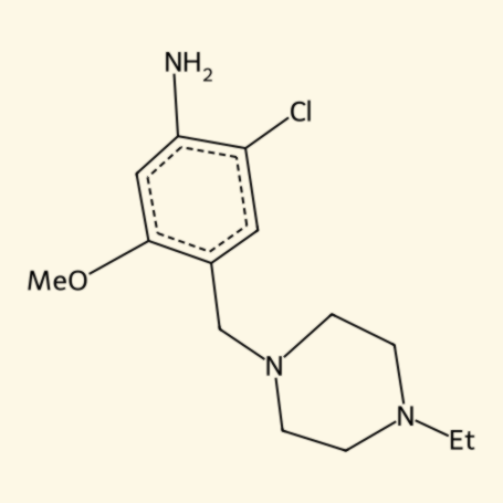 CCN1CCN(Cc2cc(Cl)c(N)cc2OC)CC1